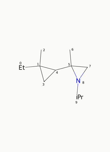 CCC1(C)CC1C1(C)CN1C(C)C